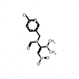 CN(C)C(=C[N+](=O)[O-])N(C=O)Cc1ccc(Cl)nc1